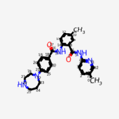 Cc1ccc(NC(=O)c2cc(C)ccc2NC(=O)c2ccc(N3CCCNCC3)cc2)nc1